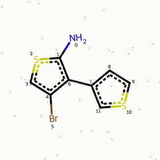 Nc1s[c]c(Br)c1-c1ccsc1